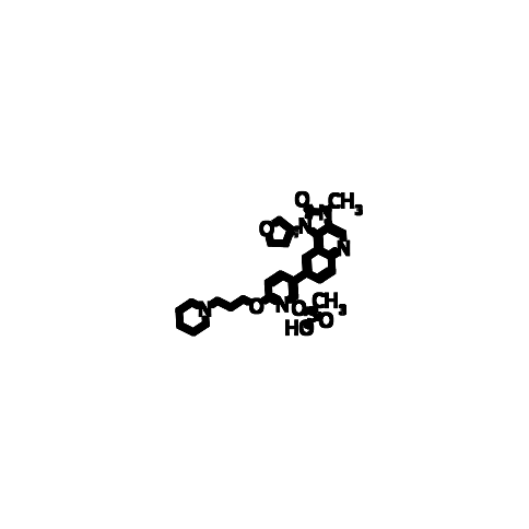 CS(=O)(=O)O.Cn1c(=O)n([C@@H]2CCOC2)c2c3cc(-c4ccc(OCCCN5CCCCC5)nc4)ccc3ncc21